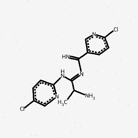 CC(N)/C(=N/C(=N)c1ccc(Cl)nc1)Nc1ccc(Cl)cn1